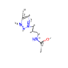 CC(=O)NCCCn1cc(C)nn1